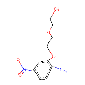 Nc1ccc([N+](=O)[O-])cc1OCCOCCO